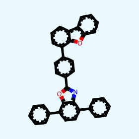 c1ccc(-c2ccc(-c3ccccc3)c3oc(-c4ccc(-c5cccc6c5oc5ccccc56)cc4)nc23)cc1